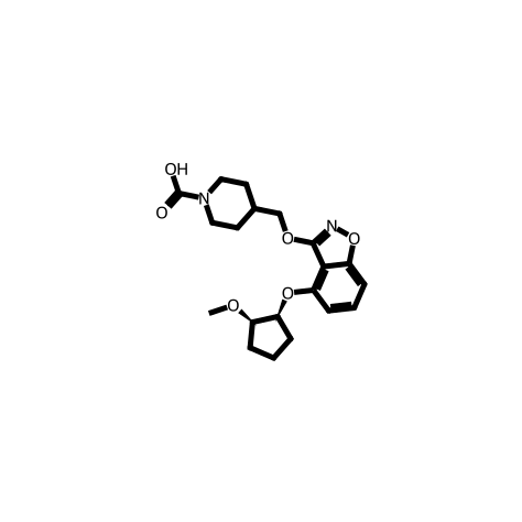 CO[C@@H]1CCC[C@@H]1Oc1cccc2onc(OCC3CCN(C(=O)O)CC3)c12